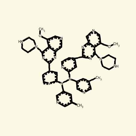 COc1cncc2nc(-c3ccnc(N(c4cncc(C)c4)N(c4cncc(C)c4)c4cc(-c5nc(N6CCNCC6)c6c(OC)cncc6n5)ccn4)c3)nc(N3CCNCC3)c12